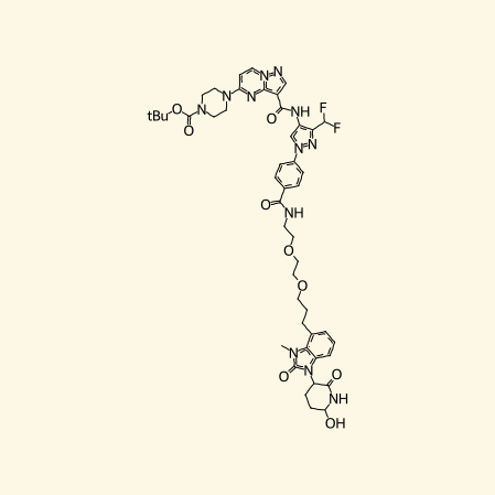 Cn1c(=O)n(C2CCC(O)NC2=O)c2cccc(CCCOCCOCCNC(=O)c3ccc(-n4cc(NC(=O)c5cnn6ccc(N7CCN(C(=O)OC(C)(C)C)CC7)nc56)c(C(F)F)n4)cc3)c21